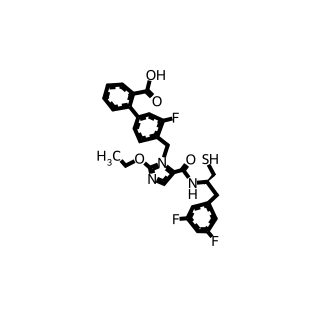 CCOc1ncc(C(=O)N[C@@H](CS)Cc2cc(F)cc(F)c2)n1Cc1ccc(-c2ccccc2C(=O)O)cc1F